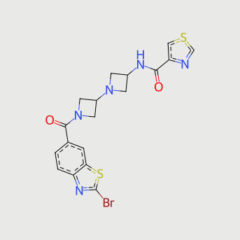 O=C(NC1CN(C2CN(C(=O)c3ccc4nc(Br)sc4c3)C2)C1)c1cscn1